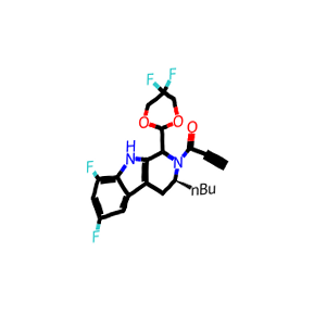 C#CC(=O)N1C(C2OCC(F)(F)CO2)c2[nH]c3c(F)cc(F)cc3c2C[C@@H]1CCCC